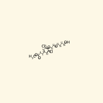 COC(=O)CCc1cc(Cl)c(OCCOCCCCO)c(Cl)c1